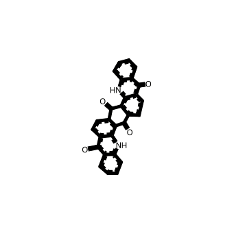 O=C1c2ccc3c(=O)c4ccccc4[nH]c3c2C(=O)c2ccc3c(=O)c4ccccc4[nH]c3c21